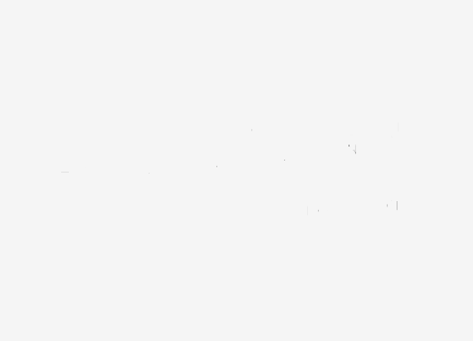 C=CCCC=CCCN(C)C(C)O